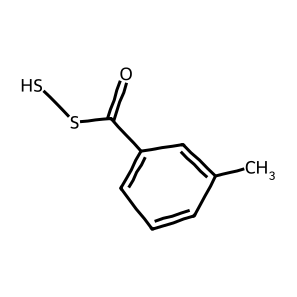 Cc1cccc(C(=O)SS)c1